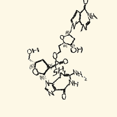 Nc1nc2c(ncn2[C@@H]2O[C@H](CO)C[C@H]2P(=O)(S)OCC[C@H]2O[C@@H](n3ccc4c(=O)[nH]cnc43)C[C@@H]2O)c(=O)[nH]1